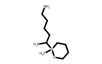 C[Si]1(C(N)CCCCN)CCCCO1